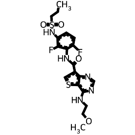 CCCS(=O)(=O)Nc1ccc(F)c(NC(=O)c2csc3c(NCCOC)ncnc23)c1F